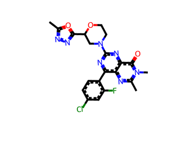 Cc1nnc(C2CN(c3nc(-c4ccc(Cl)cc4F)c4nc(C)n(C)c(=O)c4n3)CCO2)o1